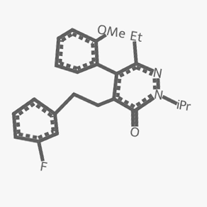 CCc1nn(C(C)C)c(=O)c(CCc2cccc(F)c2)c1-c1ccccc1OC